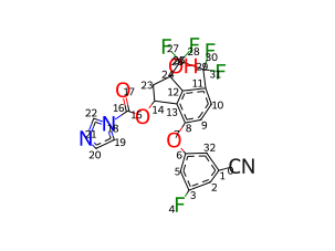 N#Cc1cc(F)cc(Oc2ccc3c4c2C(OC(=O)n2ccnc2)CC4(O)C(F)(F)C3(F)F)c1